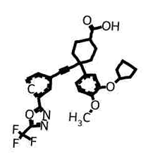 COc1ccc(C2(C#Cc3cccc(-c4nnc(C(F)(F)F)o4)c3)CCC(C(=O)O)CC2)cc1OC1CCCC1